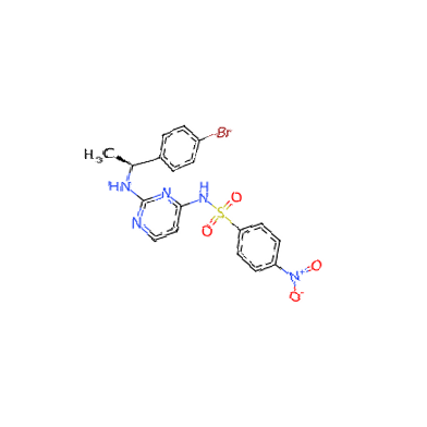 C[C@H](Nc1nccc(NS(=O)(=O)c2ccc([N+](=O)[O-])cc2)n1)c1ccc(Br)cc1